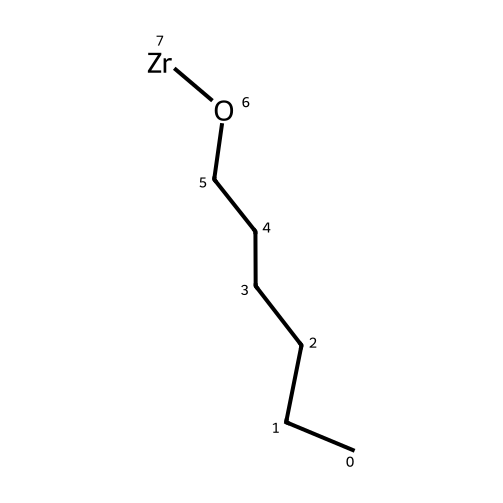 CCCCCC[O][Zr]